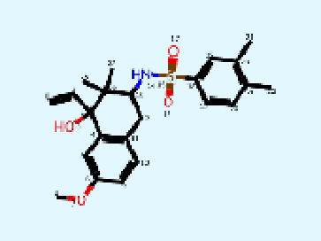 C=CC1(O)c2cc(OC)ccc2CC(NS(=O)(=O)c2ccc(C)c(C)c2)C1(C)C